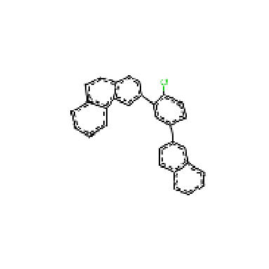 Clc1ccc(-c2ccc3ccccc3c2)cc1-c1ccc2ccc3ccccc3c2c1